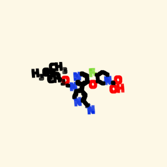 C[Si](C)(C)CCOCn1c2cnc(C#N)cc2c2c(OC3CN(C(=O)O)CCC3F)ccnc21